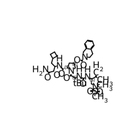 C=C(C)[C@@H](CN(C)S(C)(=O)=O)NC(=O)N[C@H](C(=O)N1C[C@H](OC(=O)N2CCc3ccccc3C2)C[C@H]1C(=O)NC(CC1CCC1)C(=O)C(N)=O)C(C)(C)C